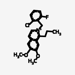 CCCc1c2cc(OC)c(OC)cc2cc[n+]1Cc1c(F)cccc1Cl